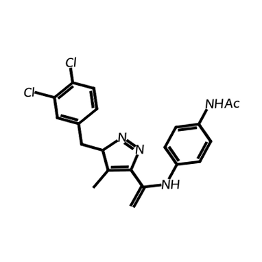 C=C(Nc1ccc(NC(C)=O)cc1)C1=C(C)C(Cc2ccc(Cl)c(Cl)c2)N=N1